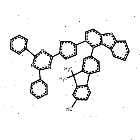 CC1(C)c2cc(C#N)ccc2-c2ccc(-c3c(-c4ccc(-c5nc(-c6ccccc6)nc(-c6ccccc6)n5)cc4)ccc4sc5ccccc5c34)cc21